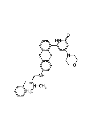 CN(C)[C@H](CNc1ccc2c(c1)Sc1cccc(-c3cc(N4CCOCC4)cc(=O)[nH]3)c1S2)Cc1ccccc1